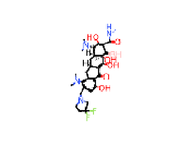 B=C1C(C(N)=O)=C(O)[C@@H](N(C)C)[C@@H]2C[C@@H]3Cc4c(c(O)cc(CN5CCC(F)(F)C5)c4N(C)C)C(=O)C3=C(O)[C@]12O